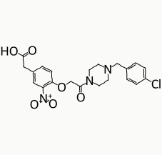 O=C(O)Cc1ccc(OCC(=O)N2CCN(Cc3ccc(Cl)cc3)CC2)c([N+](=O)[O-])c1